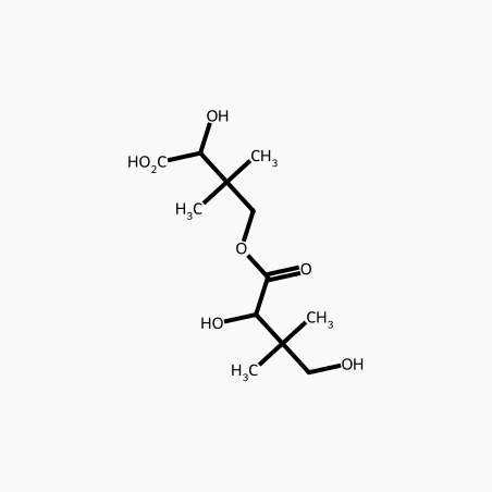 CC(C)(COC(=O)C(O)C(C)(C)CO)C(O)C(=O)O